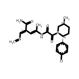 C=N/C=C(\C=C(/C)NC(=O)C(=O)N1C[C@@H](C)CC[C@@H]1c1ccc(Cl)cc1)C(N)=O